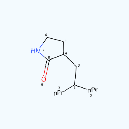 CCCC(CCC)CC1CCNC1=O